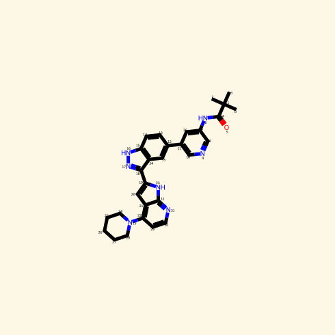 CC(C)(C)C(=O)Nc1cncc(-c2ccc3[nH]nc(-c4cc5c(N6CCCCC6)ccnc5[nH]4)c3c2)c1